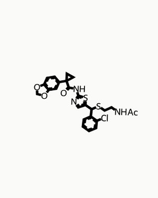 CC(=O)NCCSC(c1cnc(NC(=O)C2(c3ccc4c(c3)OCO4)CC2)s1)c1ccccc1Cl